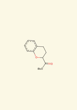 CC(C)COC(=O)C1CCc2ccccc2O1